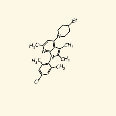 CCC1CCN(c2cc(C)nc3c2c(C)c(C)n3-c2c(C)cc(Cl)cc2C)CC1